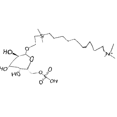 C[N+](C)(C)CCCCCCCCC[Si](C)(C)CCOC1O[C@H](COS(=O)(=O)O)[C@H](O)[C@H](O)[C@H]1O